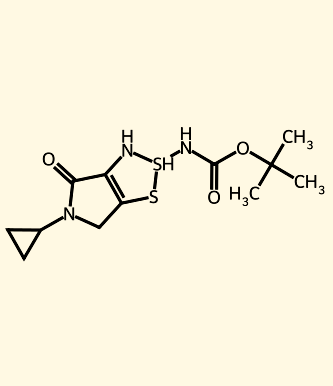 CC(C)(C)OC(=O)N[SH]1NC2=C(CN(C3CC3)C2=O)S1